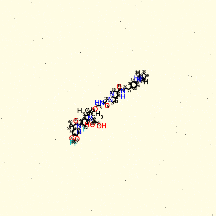 CC(C)(COCCNC(=O)Cn1ccc2cc(C(=O)NCCc3ccc(N4C[C@H]5CC[C@@H](C4)N5)cc3)cnc21)c1cc2cc(NC(=O)C3(c4ccc5c(c4)OC(F)(F)O5)CC3)c(F)cc2n1C[C@@H](O)CO